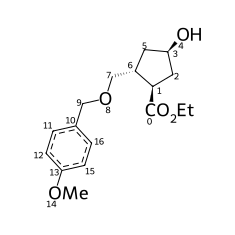 CCOC(=O)[C@@H]1C[C@H](O)C[C@H]1COCc1ccc(OC)cc1